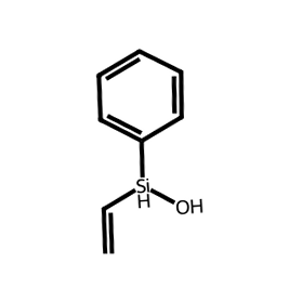 C=C[SiH](O)c1ccccc1